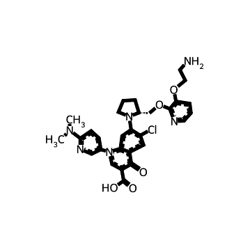 CN(C)c1ccc(-n2cc(C(=O)O)c(=O)c3cc(Cl)c(N4CCC[C@@H]4COc4ncccc4OCCN)cc32)cn1